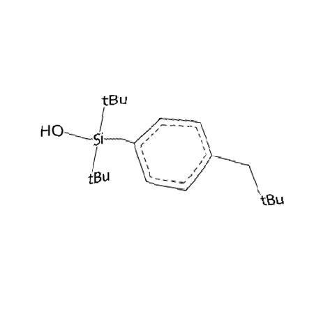 CC(C)(C)Cc1ccc([Si](O)(C(C)(C)C)C(C)(C)C)cc1